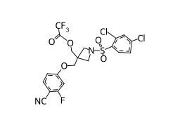 N#Cc1ccc(OCC2(COC(=O)C(F)(F)F)CN(S(=O)(=O)c3ccc(Cl)cc3Cl)C2)cc1F